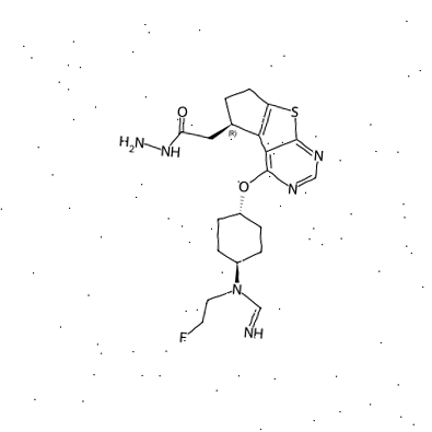 N=CN(CCF)[C@H]1CC[C@H](Oc2ncnc3sc4c(c23)[C@@H](CC(=O)NN)CC4)CC1